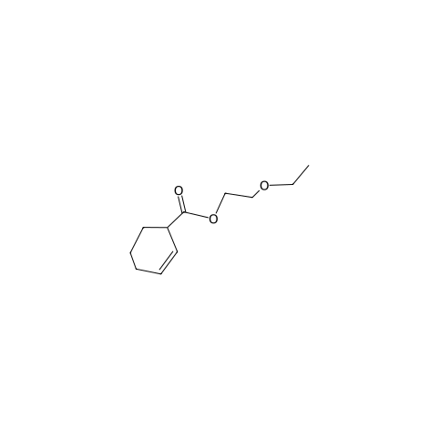 CCOCCOC(=O)C1C=CCCC1